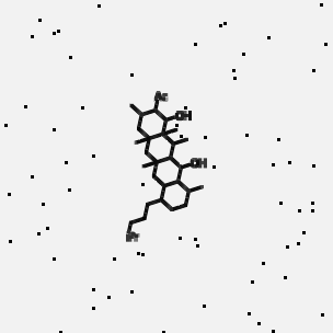 CC(=O)C1C(C)CC2(C)CC3(C)CC4C(CCCC(C)C)CCC(C)C4C(O)C3C(C)C2(C)C1O